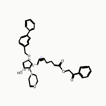 O=C(CCC/C=C\C[C@@H]1[C@@H](N2CCOCC2)[C@H](O)C[C@@H]1OCc1ccc(-c2ccccc2)cc1)OCC(=O)c1ccccc1